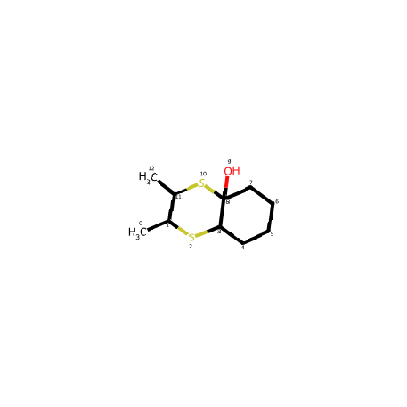 CC1SC2CCCCC2(O)SC1C